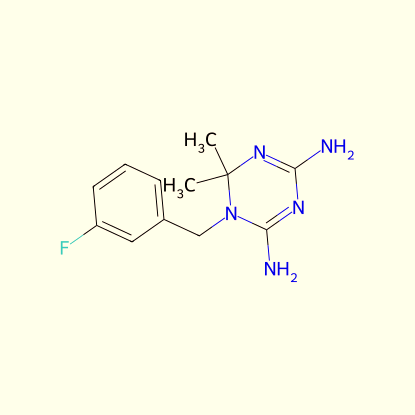 CC1(C)N=C(N)N=C(N)N1Cc1cccc(F)c1